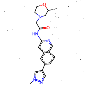 CC1CN(CC(=O)Nc2cc3cc(-c4cnn(C)c4)ccc3cn2)CCO1